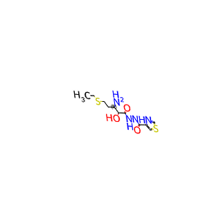 CCSCC[C@@H](N)C(O)C(=O)NNC(=O)c1cscn1